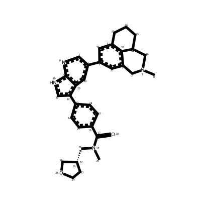 CN1Cc2cc(-c3cnc4[nH]cc(-c5ccc(C(=O)N(C)C[C@@H]6CCOC6)cc5)c4c3)cc3c2C(CCC3)C1